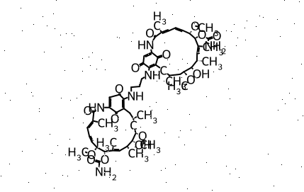 CO[C@H]1/C=C\C=C(/C)C(=O)NC2=CC(=O)C(NCCCNC3=C4C[C@@H](C)C[C@H](OC)[C@H](O)[C@@H](C)/C=C(\C)[C@H](OC(N)=O)[C@@H](OC)/C=C\C=C(/C)C(=O)NC(=CC3=O)C4=O)=C(C[C@@H](C)C[C@H](OC)[C@H](O)[C@@H](C)/C=C(\C)[C@@H]1OC(N)=O)C2=O